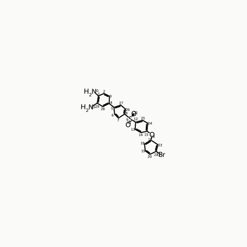 Nc1ccc(-c2ccc(S(=O)(=O)c3ccc(Oc4cccc(Br)c4)cc3)cc2)cc1N